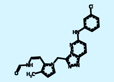 Cc1ccn(Cc2nnc3ccc(Nc4cccc(Cl)c4)nn23)c1/C=C\NC=O